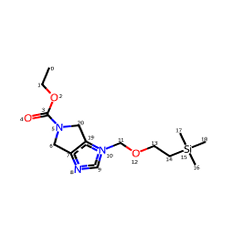 CCOC(=O)N1Cc2ncn(COCC[Si](C)(C)C)c2C1